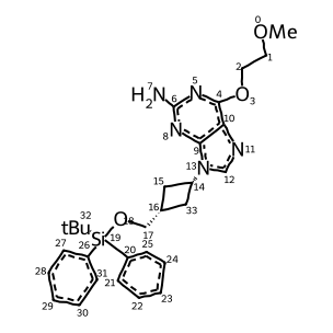 COCCOc1nc(N)nc2c1ncn2[C@H]1C[C@@H](CO[Si](c2ccccc2)(c2ccccc2)C(C)(C)C)C1